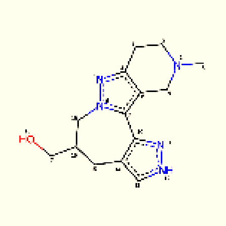 CN1CCc2nn3c(c2C1)-c1n[nH]cc1CC(CO)C3